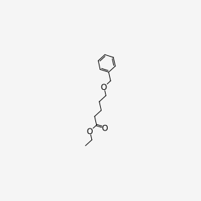 CCOC(=O)CCCCOCc1ccccc1